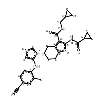 Cc1nc(C#N)ccc1Nc1nncn1[C@H]1CCc2sc(NC(=O)C3CC3)c(C(=O)NCC3CC3)c2C1